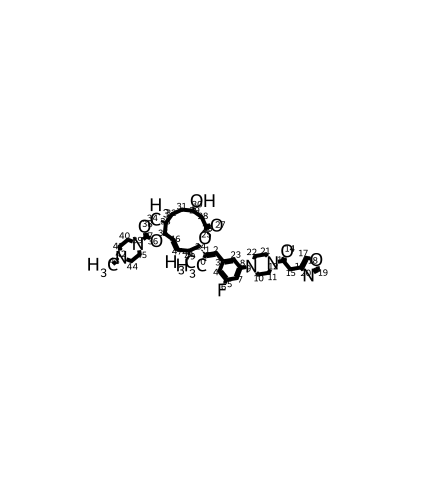 C/C(=C\c1cc(F)cc(N2CCN(C(=O)Cc3cocn3)CC2)c1)[C@H]1OC(=O)C[C@H](O)CC[C@H](C)[C@@H](OC(=O)N2CCN(C)CC2)/C=C/[C@@H]1C